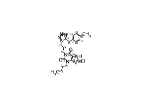 CCCCn1c(=O)n(CCCn2nnnc2Cc2ccc(C)cc2)c(=O)c2[nH]c(Cl)nc21